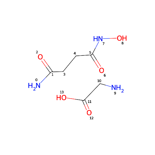 NC(=O)CCC(=O)NO.NCC(=O)O